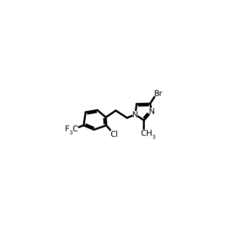 Cc1nc(Br)cn1CCc1ccc(C(F)(F)F)cc1Cl